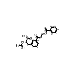 CCC(=O)N[C@H]1Cc2cccc(C(=O)OCOC(=O)c3cccnc3)c2OB1O